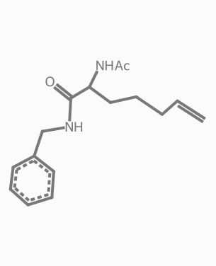 C=CCCCC(NC(C)=O)C(=O)NCc1ccccc1